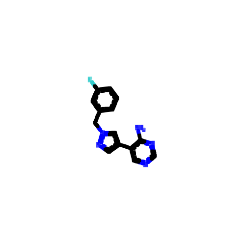 Nc1ncncc1-c1cnn(Cc2cccc(F)c2)c1